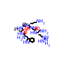 CC(C)C[C@H](NC(=O)[C@@H](N)Cc1c[nH]c2ccccc12)C(=O)N[C@H](C(=O)N[C@@H](CCCCN)C(=O)NCC(=O)N[C@@H](CCCNC(=N)N)C(N)=O)C(C)C